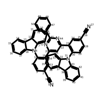 N#Cc1ccc(-n2c3ccccc3c3ccccc32)c(-c2cc(-c3cc(C#N)ccc3-n3c4ccccc4c4ccccc43)nc(-c3ccccc3)n2)c1